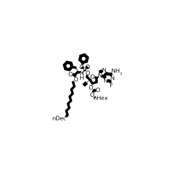 C#C[C@]1(CO[P@@](=O)(N[C@@H](Cc2ccccc2)C(=O)OCCCCCCCCCCCCCCCCCCCC)Oc2ccccc2)O[C@@H](n2cnc3c(N)nc(F)nc32)C[C@@H]1OC(=O)OCCCCCC